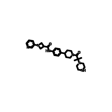 CC(C)(C(=O)N1CCC(c2ccc(NC(=O)C3CN(c4cccnc4)C3)cc2)CC1)N1CCNCC1